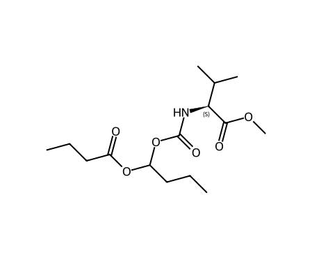 CCCC(=O)OC(CCC)OC(=O)N[C@H](C(=O)OC)C(C)C